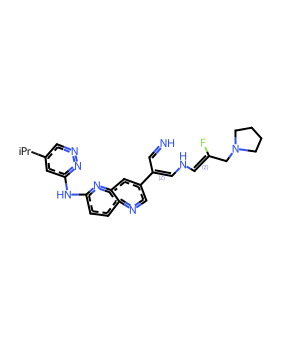 CC(C)c1cnnc(Nc2ccc3ncc(/C(C=N)=C/N/C=C(\F)CN4CCCC4)cc3n2)c1